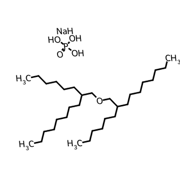 CCCCCCCCC(CCCCCC)COCC(CCCCCC)CCCCCCCC.O=P(O)(O)O.[NaH]